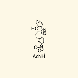 CC(=O)NC[C@H]1CN(c2ccc3c(c2)CCCc2c(-c4ccncc4O)noc2-3)C(=O)O1